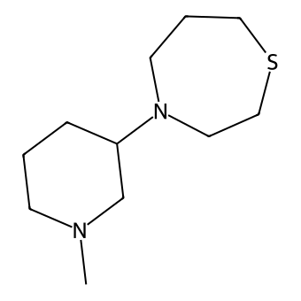 CN1CCCC(N2CCCSCC2)C1